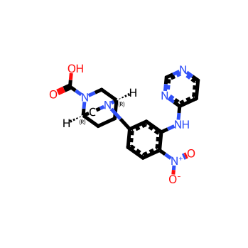 O=C(O)N1C[C@H]2CC[C@@H]1CN2c1ccc([N+](=O)[O-])c(Nc2ccncn2)c1